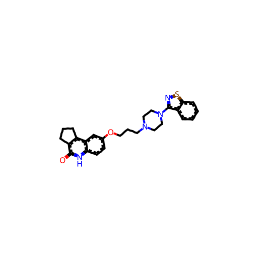 O=c1[nH]c2ccc(OCCCN3CCN(c4nsc5ccccc45)CC3)cc2c2c1CCC2